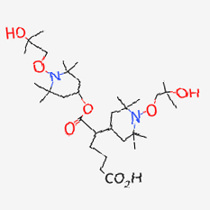 CC(C)(O)CON1C(C)(C)CC(OC(=O)C(CCCC(=O)O)C2CC(C)(C)N(OCC(C)(C)O)C(C)(C)C2)CC1(C)C